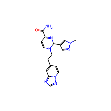 Cn1cc(C2N=C(C(N)=O)C=CN2CCc2ccn3ncnc3c2)cn1